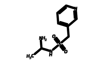 CC(N)NS(=O)(=O)Cc1cccnc1